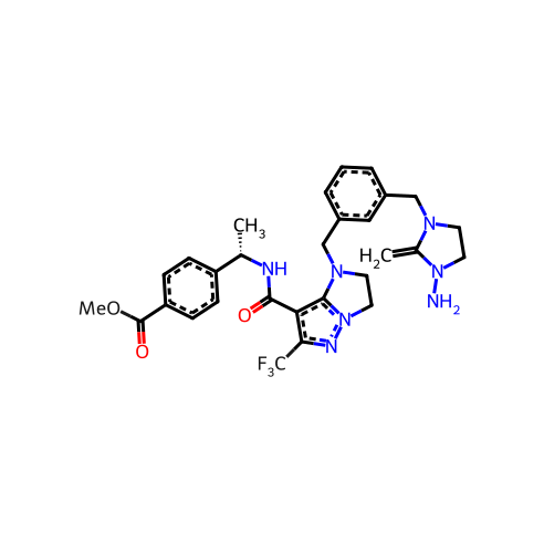 C=C1N(N)CCN1Cc1cccc(CN2CCn3nc(C(F)(F)F)c(C(=O)N[C@@H](C)c4ccc(C(=O)OC)cc4)c32)c1